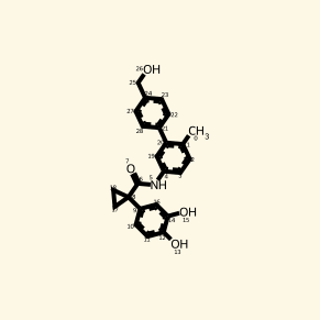 Cc1ccc(NC(=O)C2(c3ccc(O)c(O)c3)CC2)cc1-c1ccc(CO)cc1